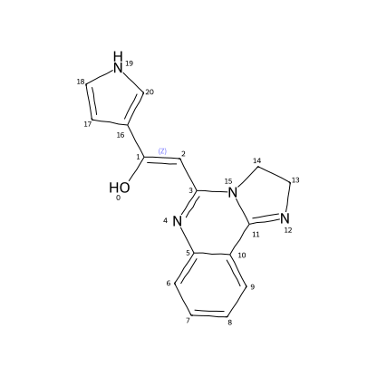 O/C(=C\C1=Nc2ccccc2C2=NCCN12)c1cc[nH]c1